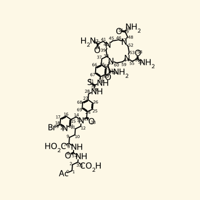 CC(=O)CC[C@@H](NC(=O)N[C@H](CCCCN(Cc1ccc(Br)nc1)C(=O)c1ccc(CNC(=S)Nc2ccc(CC3CN(CC(N)=O)CCN(CC(N)=O)CCN(CC(N)=O)CCN3CC(N)=O)cc2)cc1)C(=O)O)C(=O)O